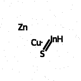 [Cu].[S]=[InH].[Zn]